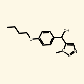 CCCCOc1ccc(C(O)c2cnnn2C)cc1